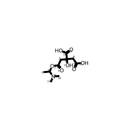 CC(OC(=O)CC(O)(CC(=O)O)C(=O)O)N(C)C